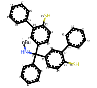 CCCCNC(c1ccccc1)(c1ccc(S)c(-c2ccccc2)c1)c1ccc(S)c(-c2ccccc2)c1